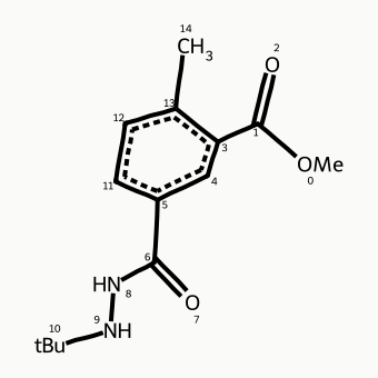 COC(=O)c1cc(C(=O)NNC(C)(C)C)ccc1C